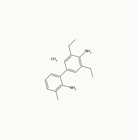 C.CCc1cc(-c2cccc(C)c2N)cc(CC)c1N